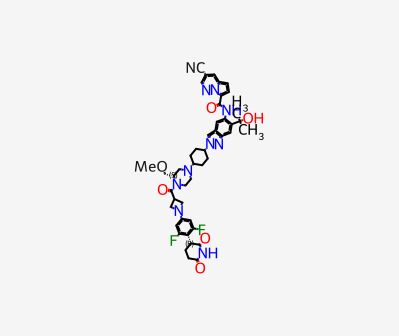 COC[C@@H]1CN(C2CCC(n3cc4cc(NC(=O)c5ccc6cc(C#N)cnn56)c(C(C)(C)O)cc4n3)CC2)CCN1C(=O)C1CN(c2cc(F)c([C@H]3CCC(=O)NC3=O)c(F)c2)C1